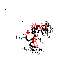 CC[C@H]1CCC[C@H](OC2CC[C@@H](C(C)C)C(C)O2)[C@@H](C)C(=O)C2=C[C@]3(C)C(C=C[C@]4(O)C[C@@H](O[C@@H]5O[C@@H](C)[C@H](OC)[C@@H](OC)[C@H]5OC)C[C@@]43O)[C@]2(O)CC(=O)O1